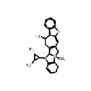 CC1CC2=C(C=C3Sc4ccccc4C31)C[N+]1(C)C3=C(C=CCC3)N(C3C(C)[C@@H]3C(C)C)C21